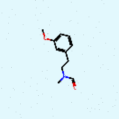 COc1cccc(CCN(C)C=O)c1